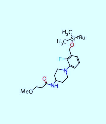 COCCC(=O)NC1CCN(c2cccc(CO[Si](C)(C)C(C)(C)C)c2F)CC1